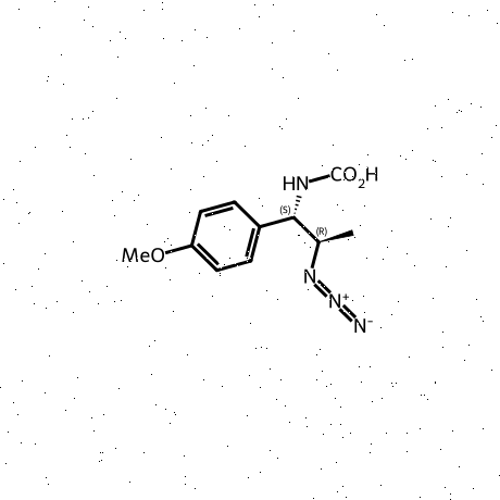 COc1ccc([C@H](NC(=O)O)[C@@H](C)N=[N+]=[N-])cc1